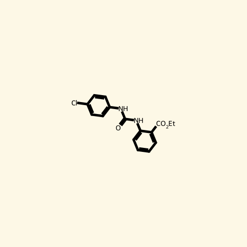 CCOC(=O)c1ccccc1NC(=O)Nc1ccc(Cl)cc1